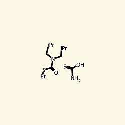 CCSC(=O)N(CC(C)C)CC(C)C.NC(O)=S